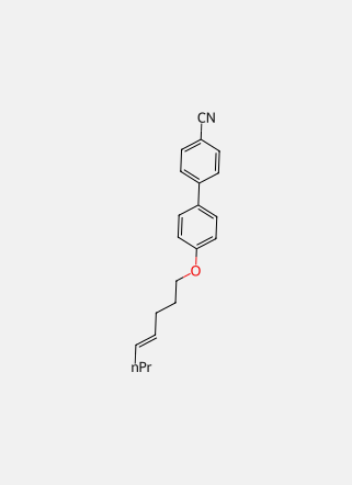 CCCC=CCCCOc1ccc(-c2ccc(C#N)cc2)cc1